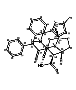 Cc1cc(CN(C)C(=O)N2[C@H]3CC[C@@H]2[C@@H](C(=O)O)N(C(=O)N(c2ccccc2)c2ccccc2)C3)cs1